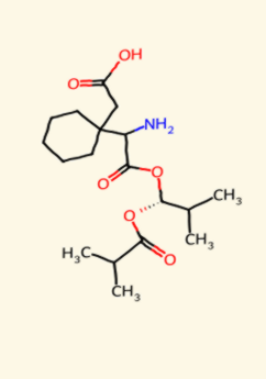 CC(C)C(=O)O[C@H](OC(=O)C(N)C1(CC(=O)O)CCCCC1)C(C)C